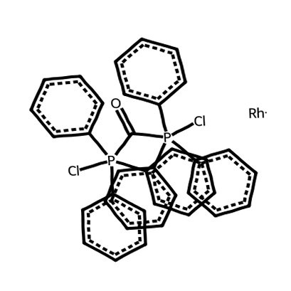 O=C(P(Cl)(c1ccccc1)(c1ccccc1)c1ccccc1)P(Cl)(c1ccccc1)(c1ccccc1)c1ccccc1.[Rh]